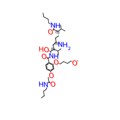 CCCCNC(=O)COc1ccc(C(=O)NC(O)[C@@H](C[C@@H](N)CC[C@H](C(=O)NCCCC)C(C)C)C(C)C)c(OCCCCOC)c1